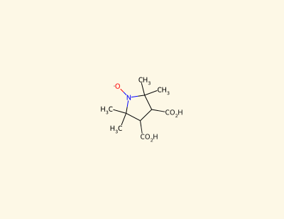 CC1(C)C(C(=O)O)C(C(=O)O)C(C)(C)N1[O]